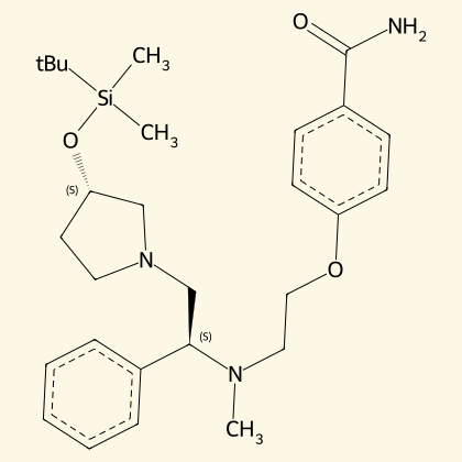 CN(CCOc1ccc(C(N)=O)cc1)[C@H](CN1CC[C@H](O[Si](C)(C)C(C)(C)C)C1)c1ccccc1